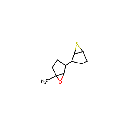 CC12CCC(C3CCC4SC43)C1O2